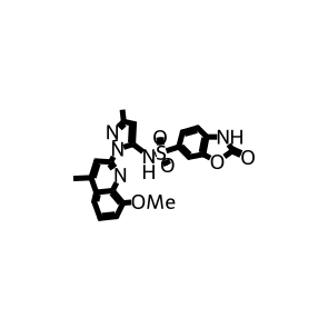 COc1cccc2c(C)cc(-n3nc(C)cc3NS(=O)(=O)c3ccc4[nH]c(=O)oc4c3)nc12